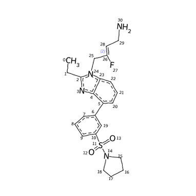 CCc1nc2c(-c3cccc(S(=O)(=O)N4CCCC4)c3)cccc2n1C/C(F)=C/CN